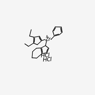 CCC1=C(CC)C[C]([Zr]([CH3])(=[CH]c2ccccc2)[CH]2C=CC3=C2CCCC3)=C1.Cl.Cl